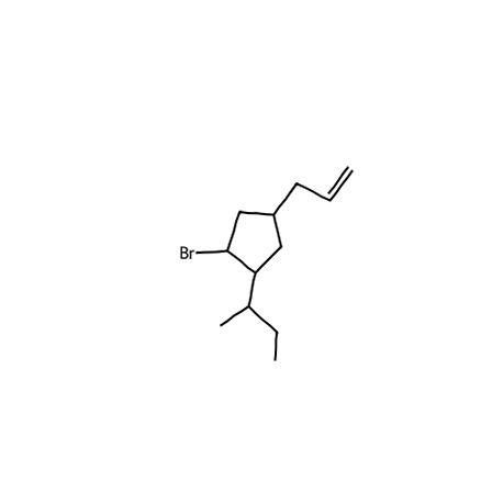 C=CCC1CC(Br)C(C(C)CC)C1